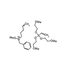 C=CCCC[SiH](Cc1ccccc1)OC.C=C[Si](OCCOC)(OCCOC)OCCOC